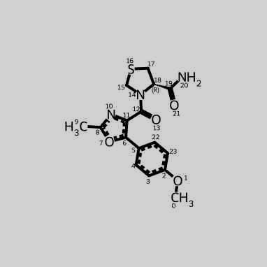 COc1ccc(-c2oc(C)nc2C(=O)N2CSC[C@H]2C(N)=O)cc1